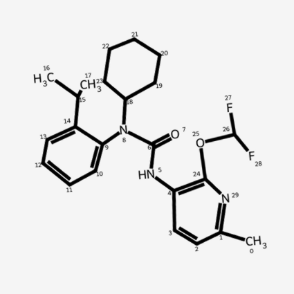 Cc1ccc(NC(=O)N(c2ccccc2C(C)C)C2CCCCC2)c(OC(F)F)n1